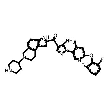 Cc1cc(Oc2c(F)cccc2F)ncc1-n1ncc(C(=O)c2cc3c4c(ccc3[nH]2)CN(C2CCNCC2)CC4)c1N